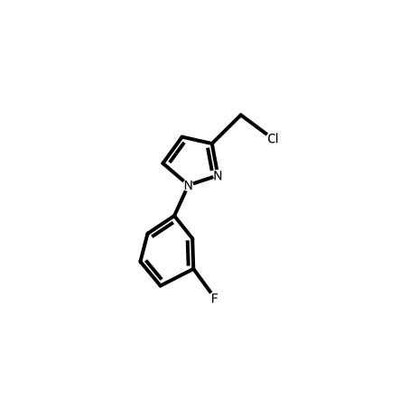 Fc1cccc(-n2ccc(CCl)n2)c1